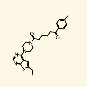 CCc1cc2c(N3CCN(C(=O)CCCCC(=O)c4ccc(C)cc4)CC3)ncnc2s1